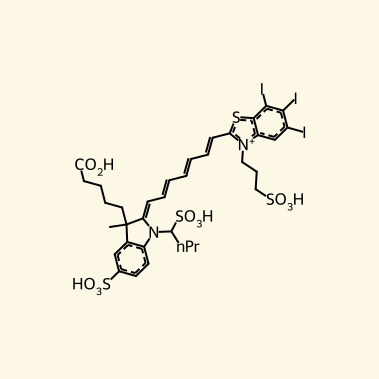 CCCC(N1\C(=C/C=C/C=C/C=C/c2sc3c(I)c(I)c(I)cc3[n+]2CCCS(=O)(=O)O)C(C)(CCCCC(=O)O)c2cc(S(=O)(=O)O)ccc21)S(=O)(=O)O